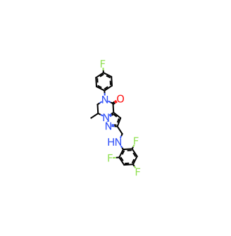 CC1CN(c2ccc(F)cc2)C(=O)c2cc(CNc3c(F)cc(F)cc3F)nn21